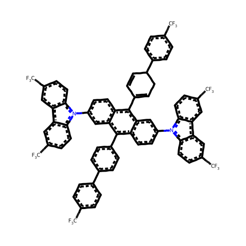 FC(F)(F)c1ccc(-c2ccc(-c3c4ccc(-n5c6ccc(C(F)(F)F)cc6c6cc(C(F)(F)F)ccc65)cc4c(C4=CCC(c5ccc(C(F)(F)F)cc5)C=C4)c4ccc(-n5c6ccc(C(F)(F)F)cc6c6cc(C(F)(F)F)ccc65)cc34)cc2)cc1